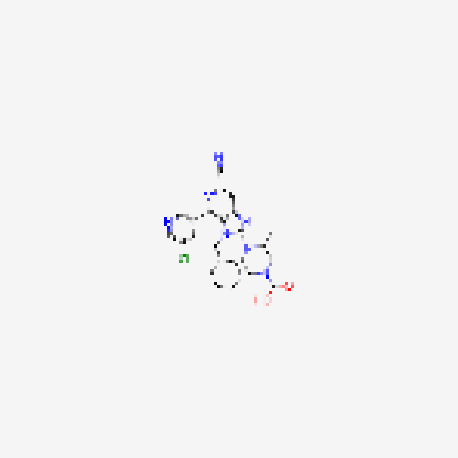 CC1CN(C(=O)O)CCN1c1nc2cc(C#N)nc(-c3cncc(Cl)c3)c2n1C[C@H]1CC[C@H](C)CC1